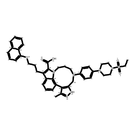 CCS(=O)(=O)N1CCN(c2ccc(N3CCCn4c(C(=O)O)c(CCCOc5cccc6ccccc56)c5cccc(c54)-c4c(C)n[nH]c4C3)cc2)CC1